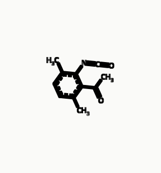 CC(=O)c1c(C)ccc(C)c1N=C=O